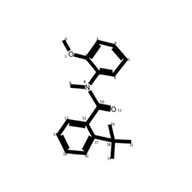 COc1ccccc1N(C)C(=O)c1ccccc1C(C)(C)C